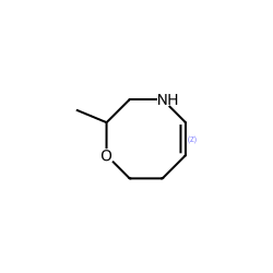 CC1CN/C=C\CCO1